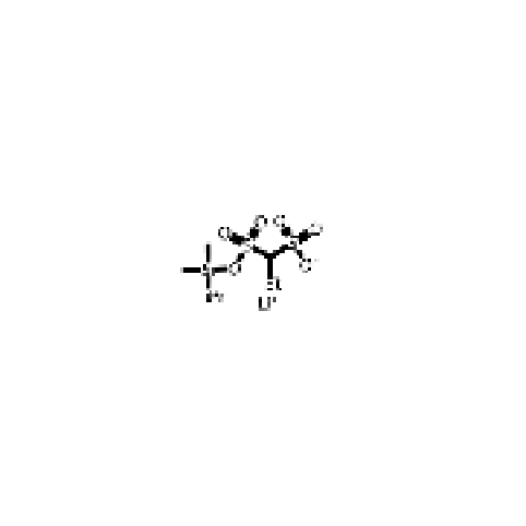 CCC(S(=O)(=O)[O-])S(=O)(=O)O[Si](C)(C)C(C)C.[Li+]